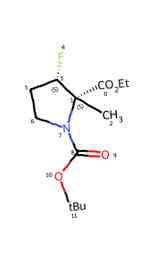 CCOC(=O)[C@@]1(C)[C@@H](F)CCN1C(=O)OC(C)(C)C